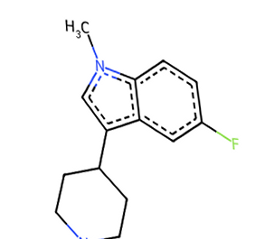 Cn1cc(C2CC[N]CC2)c2cc(F)ccc21